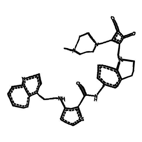 CN1CCN(c2c(N3CCc4cc(NC(=O)c5sccc5NCc5ccnc6ccccc56)ccc43)c(=O)c2=O)CC1